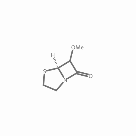 COC1C(=O)N2CCS[C@@H]12